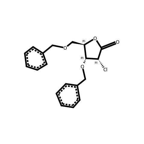 O=C1O[C@H](COCc2ccccc2)[C@@H](OCc2ccccc2)[C@H]1Cl